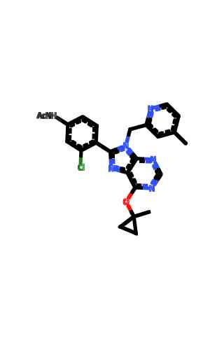 CC(=O)Nc1ccc(-c2nc3c(OC4(C)CC4)ncnc3n2Cc2cc(C)ccn2)c(Cl)c1